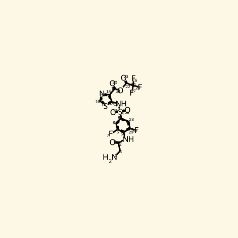 NCC(=O)Nc1c(F)cc(S(=O)(=O)Nc2scnc2C(=O)OC(=O)C(F)(F)F)cc1F